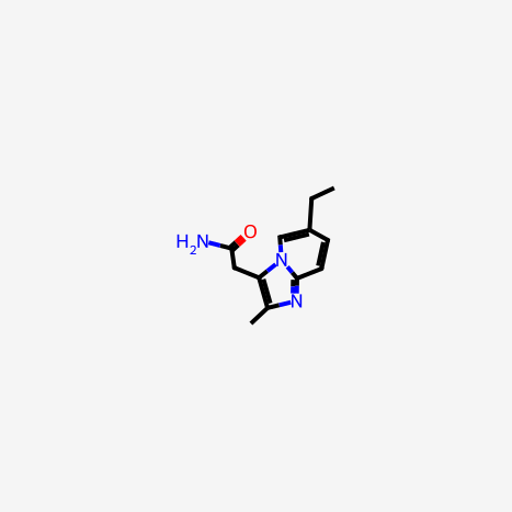 CCc1ccc2nc(C)c(CC(N)=O)n2c1